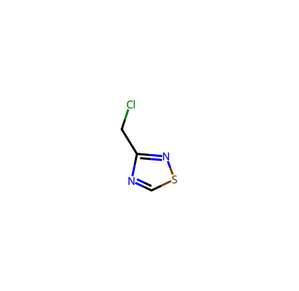 ClCc1ncsn1